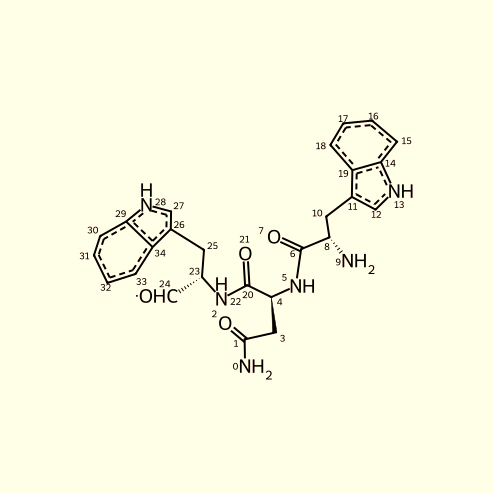 NC(=O)C[C@H](NC(=O)[C@@H](N)Cc1c[nH]c2ccccc12)C(=O)N[C@H]([C]=O)Cc1c[nH]c2ccccc12